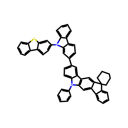 c1ccc(-n2c3ccc(-c4ccc5c6ccccc6n(-c6ccc7c(c6)sc6ccccc67)c5c4)cc3c3cc4c(cc32)-c2ccccc2C42CCCCC2)cc1